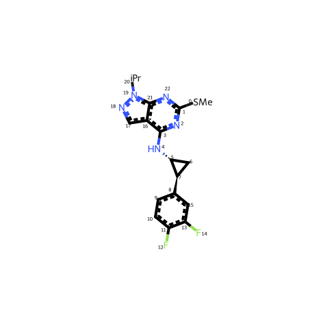 CSc1nc(N[C@@H]2C[C@H]2c2ccc(F)c(F)c2)c2cnn(C(C)C)c2n1